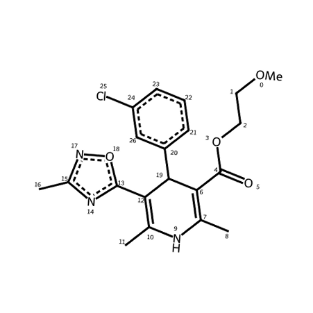 COCCOC(=O)C1=C(C)NC(C)=C(c2nc(C)no2)C1c1cccc(Cl)c1